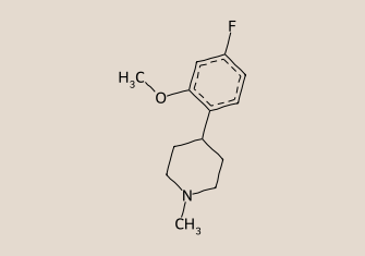 COc1cc(F)ccc1C1CCN(C)CC1